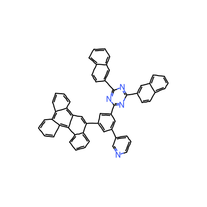 c1cncc(-c2cc(-c3nc(-c4ccc5ccccc5c4)nc(-c4ccc5ccccc5c4)n3)cc(-c3cc4c5ccccc5c5ccccc5c4c4ccccc34)c2)c1